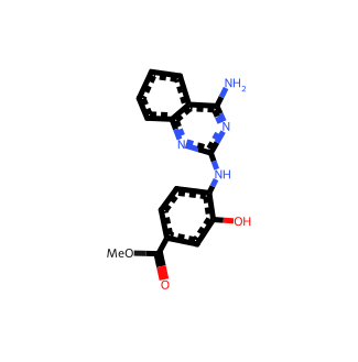 COC(=O)c1ccc(Nc2nc(N)c3ccccc3n2)c(O)c1